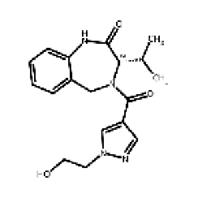 CC(C)[C@H]1C(=O)Nc2ccccc2CN1C(=O)c1cnn(CCO)c1